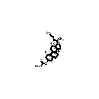 CCCCCCCCC(=O)O[C@H]1CC[C@@]2(C)C(=CC[C@H]3C2CC[C@@]2(C)C3CC[C@@H]2[C@H](C)CCCC(C)C)C1